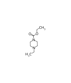 CCOC(=O)N1CCN(CC)CC1